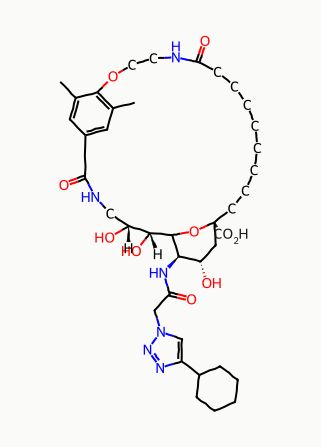 Cc1cc2cc(C)c1OCCNC(=O)CCCCCCCC[C@]1(C(=O)O)C[C@H](O)[C@@H](NC(=O)Cn3cc(C4CCCCC4)nn3)C(O1)[C@H](O)[C@H](O)CNC2=O